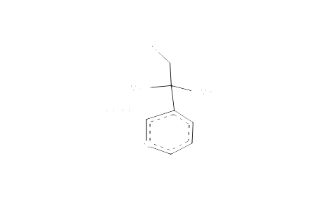 COC(CN)(OC)c1cccnc1.Cl.Cl